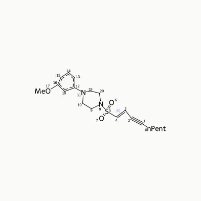 CCCCCC#C/C=C/S(=O)(=O)N1CCN(c2cccc(OC)c2)CC1